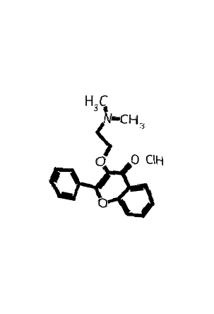 CN(C)CCOc1c(-c2ccccc2)oc2ccccc2c1=O.Cl